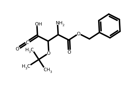 CC(C)(C)OC(C(O)=C=O)C(N)C(=O)OCc1ccccc1